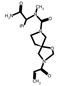 C=CC(=O)N1CO[C@]2(CCN(C(=O)N(C)C(C(N)=O)C(C)C)C2)C1